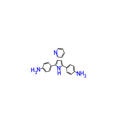 Nc1ccc(-c2ccc(-c3ccc(N)cc3)[nH]2)cc1.c1ccncc1